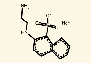 NCCNc1ccc2ccccc2c1S(=O)(=O)[O-].[Na+]